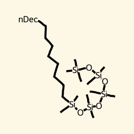 [CH2]CCCCCCCCCCCCCCCCC[Si](C)(C)O[Si](C)(C)O[Si](C)(C)O[Si](C)(C)O[Si](C)(C)C